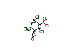 [O]C(=O)C1=C(Cl)C(=C=O)C(Cl)C=C1Cl